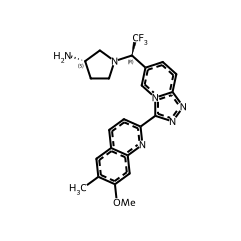 COc1cc2nc(-c3nnc4ccc([C@@H](N5CC[C@H](N)C5)C(F)(F)F)cn34)ccc2cc1C